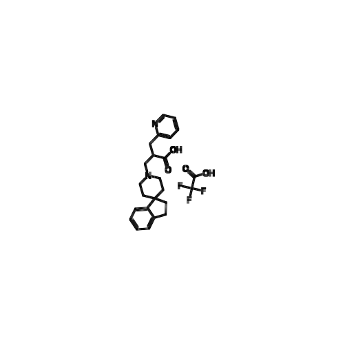 O=C(O)C(Cc1ccccn1)CN1CCC2(CCc3ccccc32)CC1.O=C(O)C(F)(F)F